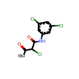 CC(C)(C)C(=O)C(Cl)C(=O)Nc1cc(Cl)cc(Cl)c1